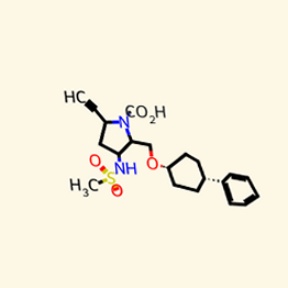 C#CC1CC(NS(C)(=O)=O)C(CO[C@H]2CC[C@@H](c3ccccc3)CC2)N1C(=O)O